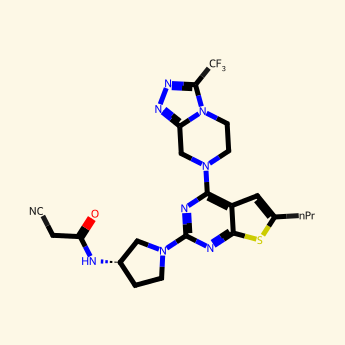 CCCc1cc2c(N3CCn4c(nnc4C(F)(F)F)C3)nc(N3CC[C@H](NC(=O)CC#N)C3)nc2s1